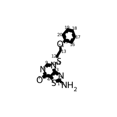 Nc1nc2c(s1)c(=O)ncn2SCCOc1ccccc1